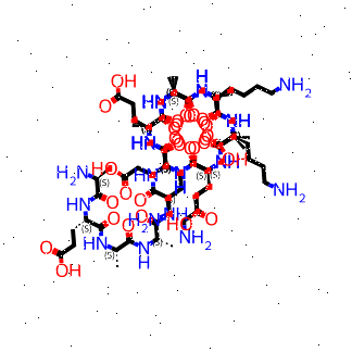 C[C@H](N)C(=O)N[C@@H](CCC(=O)O)C(=O)N[C@@H](C)C(=O)N[C@@H](C)C(=O)N[C@@H](C)C(=O)N[C@@H](CCCCN)C(=O)N[C@@H](CCC(=O)O)C(=O)N[C@@H](C)C(=O)N[C@@H](C)C(=O)N[C@@H](C)C(=O)N[C@@H](CCCCN)C(=O)N[C@@H](CCC(=O)O)C(=O)N[C@@H](C)C(=O)N[C@@H](C)C(=O)N[C@@H](C)C(=O)N[C@@H](CCCCN)C(=O)N[C@@H](CCC(=O)O)C(=O)N[C@@H](C)C(=O)N[C@@H](C)C(=O)N[C@@H](C)C(=O)N[C@@H](CCCCN)C(=O)N[C@@H](C)C(=O)O